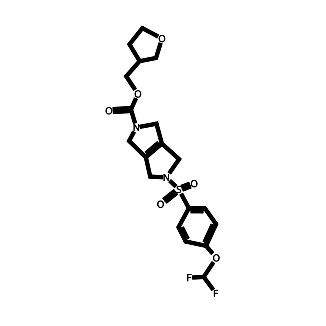 O=C(OCC1CCOC1)N1CC2=C(C1)CN(S(=O)(=O)c1ccc(OC(F)F)cc1)C2